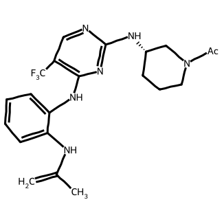 C=C(C)Nc1ccccc1Nc1nc(N[C@H]2CCCN(C(C)=O)C2)ncc1C(F)(F)F